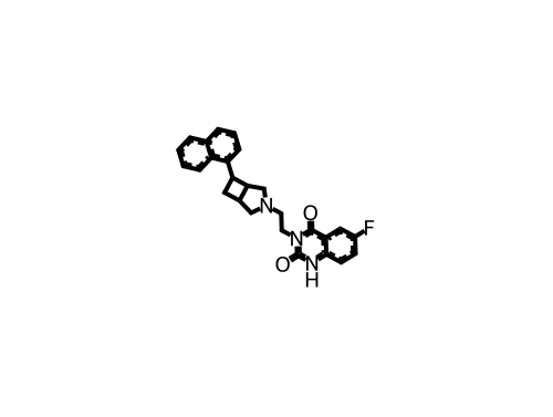 O=c1[nH]c2ccc(F)cc2c(=O)n1CCN1CC2CC(c3cccc4ccccc34)C2C1